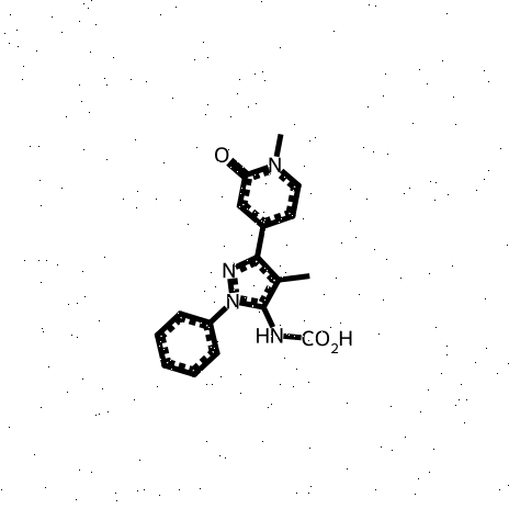 Cc1c(-c2ccn(C)c(=O)c2)nn(-c2ccccc2)c1NC(=O)O